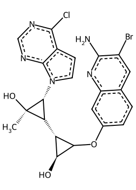 C[C@@]1(O)C([C@@H]2C(Oc3ccc4cc(Br)c(N)nc4c3)[C@H]2O)[C@H]1n1ccc2c(Cl)ncnc21